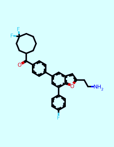 NCCc1cc2cc(-c3ccc(C(=O)C4CCCCC(F)(F)CC4)cc3)cc(-c3ccc(F)cc3)c2o1